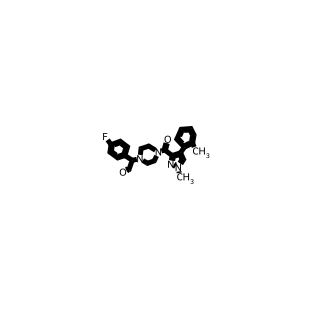 Cc1ccccc1-c1cn(C)nc1C(=O)N1CCN(C(C=O)c2ccc(F)cc2)CC1